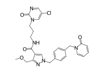 COCc1nn(Cc2ccc(Cn3ccccc3=O)cc2)cc1C(=O)NCCCn1cc(Cl)cnc1=O